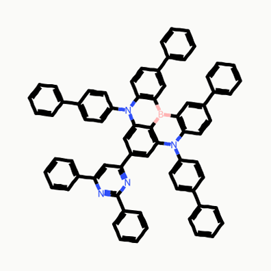 c1ccc(-c2ccc(N3c4ccc(-c5ccccc5)cc4B4c5cc(-c6ccccc6)ccc5N(c5ccc(-c6ccccc6)cc5)c5cc(-c6cc(-c7ccccc7)nc(-c7ccccc7)n6)cc3c54)cc2)cc1